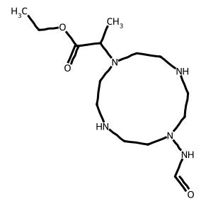 CCOC(=O)C(C)N1CCNCCN(NC=O)CCNCC1